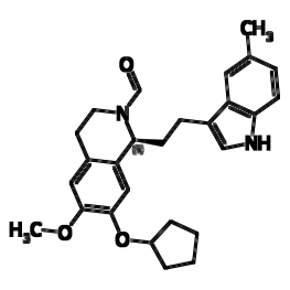 COc1cc2c(cc1OC1CCCC1)[C@H](CCc1c[nH]c3ccc(C)cc13)N(C=O)CC2